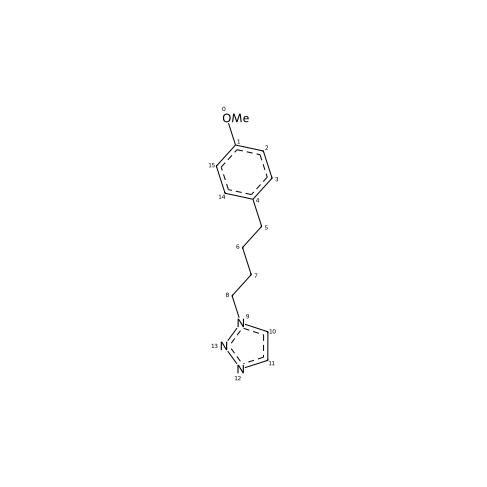 COc1ccc(CCCCn2ccnn2)cc1